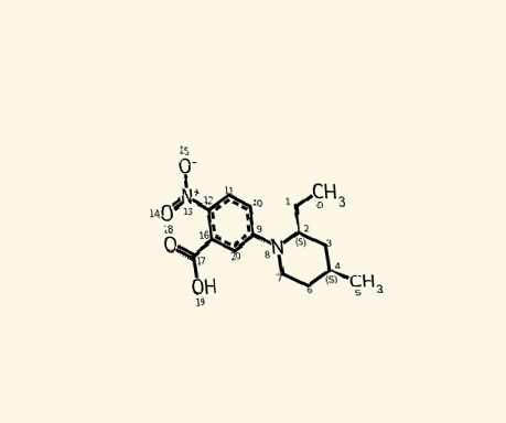 CC[C@H]1C[C@@H](C)CCN1c1ccc([N+](=O)[O-])c(C(=O)O)c1